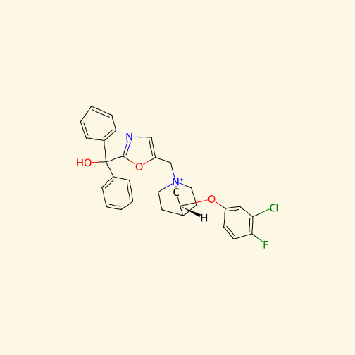 OC(c1ccccc1)(c1ccccc1)c1ncc(C[N+]23CCC(CC2)[C@@H](Oc2ccc(F)c(Cl)c2)C3)o1